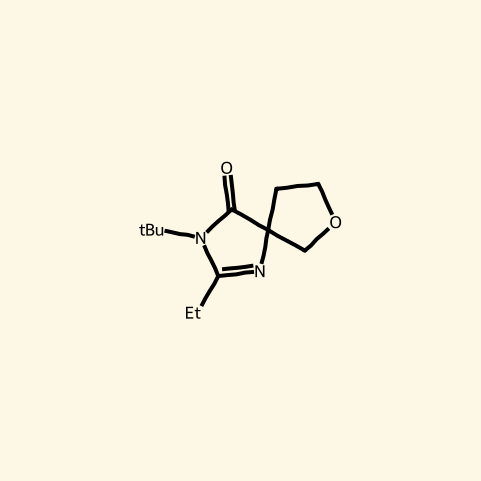 CCC1=NC2(CCOC2)C(=O)N1C(C)(C)C